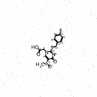 C[S+]([O-])c1cn(CC(=O)O)c(SCc2ccc(F)cc2)nc1=O